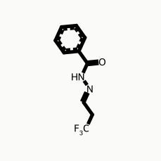 O=C(N/N=C/CC(F)(F)F)c1ccccc1